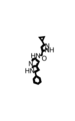 O=C(Nc1cnc2[nH]c(-c3ccccc3)cc2c1)c1cc(C2CC2)n[nH]1